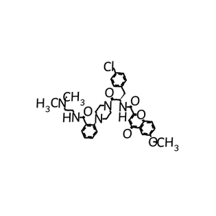 COc1ccc2oc(C(=O)N[C@H](Cc3ccc(Cl)cc3)C(=O)N3CCN(c4ccccc4C(=O)NCCN(C)C)CC3)cc(=O)c2c1